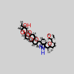 CC[C@@H](C=O)[C@H]1CC[C@H](C)[C@H]([C@@H](C)c2[nH]nc([C@H](CC)[C@H]3O[C@]4(C=C[C@@H](O)[C@]5(CC[C@@](C)([C@H]6CC[C@](O)(CC)[C@H](C)O6)O5)O4)[C@H](C)C[C@@H]3C)c2C)O1